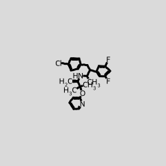 C=C(NC(C)C(Cc1ccc(Cl)cc1)c1cc(F)cc(F)c1)C(C)(C)Oc1ccccn1